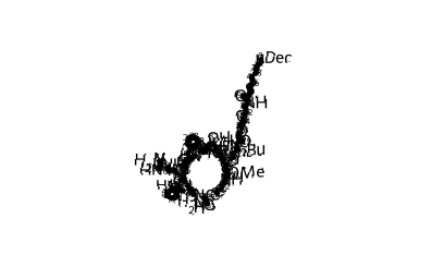 CCCCCCCCCCCCCCCCCC(=O)NCCOCCOCC(=O)N[C@@H](CCCC)C(=O)N[C@H]1CCC(OC)NCCCCC(C(N)=O)NC(=O)[C@H](Cc2c[nH]c3ccccc23)NC(=O)[C@H](CCCNC(=N)N)NC(=O)[C@@H](Cc2ccccc2)NC(=O)[C@@H]2C[C@@H](O)CN2C1=O